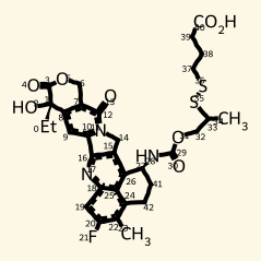 CC[C@@]1(O)C(=O)OCc2c1cc1n(c2=O)Cc2c-1nc1cc(F)c(C)c3c1c2[C@@H](NC(=O)OCC(C)SSCCCC(=O)O)CC3